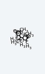 CC1CC(C(C2CC(C)C3OC3(C)C2)C(C)(C)C)CC2(C)OC12